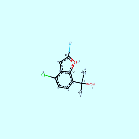 [2H]C([2H])(O)c1ccc(Cl)c2cc(F)oc12